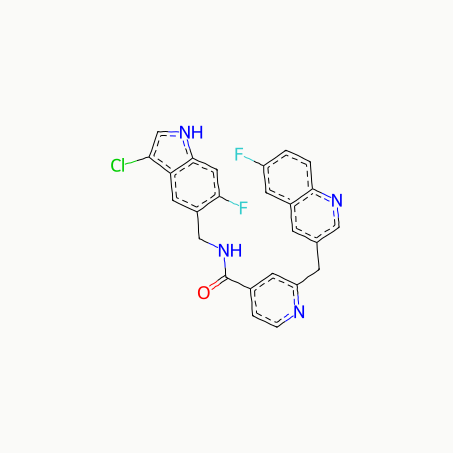 O=C(NCc1cc2c(Cl)c[nH]c2cc1F)c1ccnc(Cc2cnc3ccc(F)cc3c2)c1